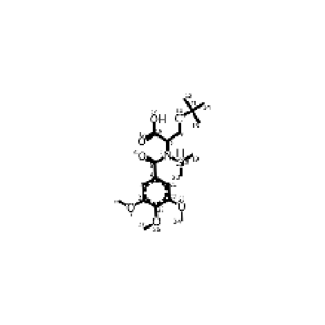 COc1cc(C(=O)N(C(COC(C)(C)C)C(=O)O)[SiH](C)C)cc(OC)c1OC